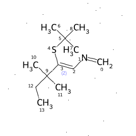 C=N/C=C(\SC(C)(C)C)C(C)(C)CC